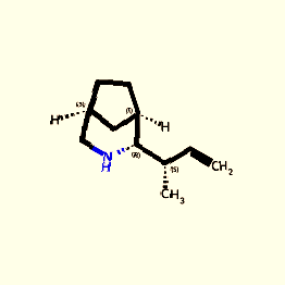 C=C[C@H](C)[C@@H]1NC[C@H]2CC[C@@H]1C2